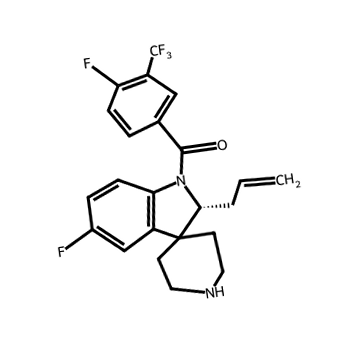 C=CC[C@H]1N(C(=O)c2ccc(F)c(C(F)(F)F)c2)c2ccc(F)cc2C12CCNCC2